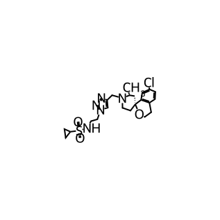 C[C@H]1C[C@@]2(CCN1Cc1cn(CCNS(=O)(=O)C3CC3)nn1)OCCc1ccc(Cl)cc12